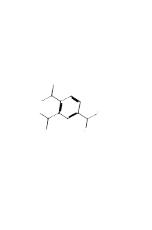 CC(C)c1ccc(C(F)F)cc1C(C)C